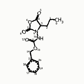 CCCC1C(=O)OC(=O)N1NC(=O)OCc1ccccc1